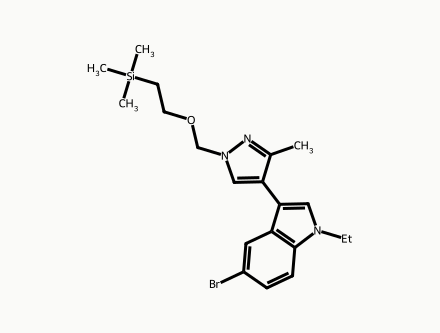 CCn1cc(-c2cn(COCC[Si](C)(C)C)nc2C)c2cc(Br)ccc21